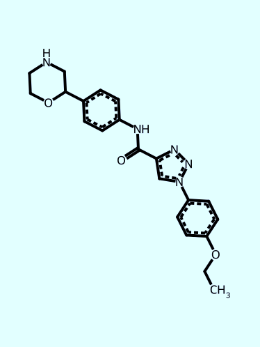 CCOc1ccc(-n2cc(C(=O)Nc3ccc(C4CNCCO4)cc3)nn2)cc1